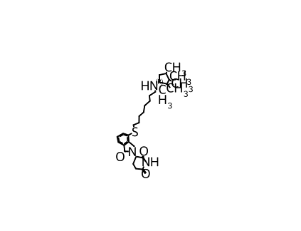 CC1C[C@@H](NCCCCCCCCSc2cccc3c2CN(C2CCC(=O)NC2=O)C3=O)C(C)(C)C1(C)C